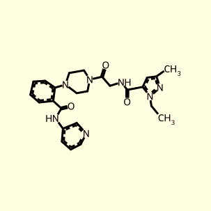 CCn1nc(C)cc1C(=O)NCC(=O)N1CCN(c2ccccc2C(=O)Nc2cccnc2)CC1